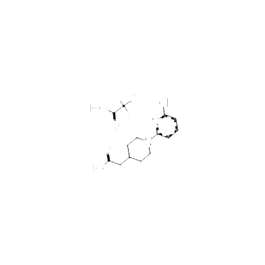 O=C(O)C(F)(F)F.O=C(O)CC1CCN(c2cccc(Cl)n2)CC1